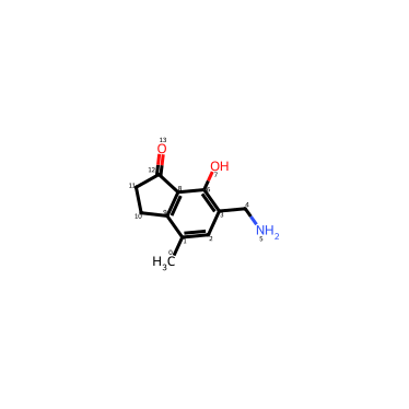 Cc1cc(CN)c(O)c2c1CCC2=O